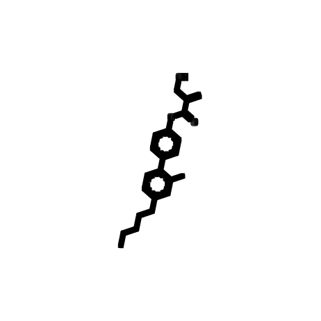 C=C(CO)C(=O)Oc1ccc(-c2ccc(CCCCC)cc2C)cc1